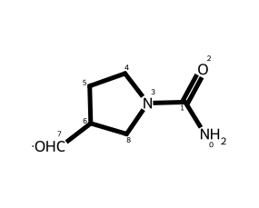 NC(=O)N1CCC([C]=O)C1